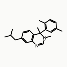 Cc1ccc(C)c(C2(C)c3ccc(CC(C)C)cc3N=CN2C)c1